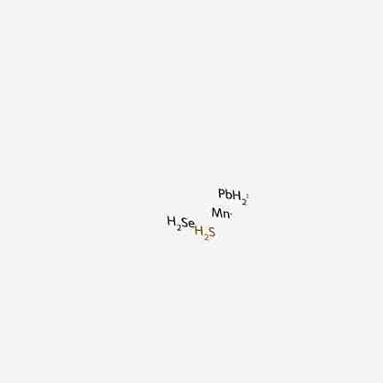 S.[Mn].[PbH2].[SeH2]